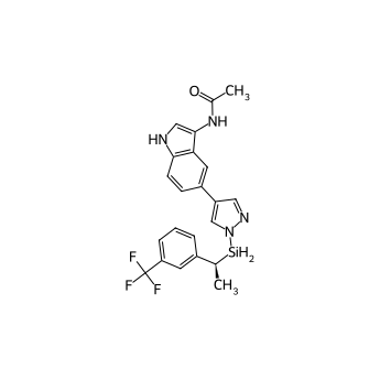 CC(=O)Nc1c[nH]c2ccc(-c3cnn([SiH2][C@@H](C)c4cccc(C(F)(F)F)c4)c3)cc12